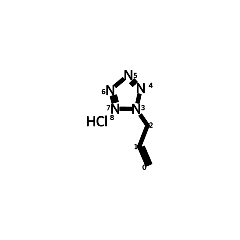 C=CCn1nnnn1.Cl